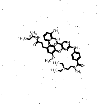 CC[C@@H](C)NC(=O)CCc1ccc(Oc2nc(Nc3ccc(C(=O)N(C)CCN(CC)CC)cc3)ncc2C(=O)Nc2c(C)cccc2C)c(OC)c1